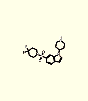 O=S(=O)(c1ccc2ccn(C3CCNCC3)c2c1)N1CCC(F)(F)CC1